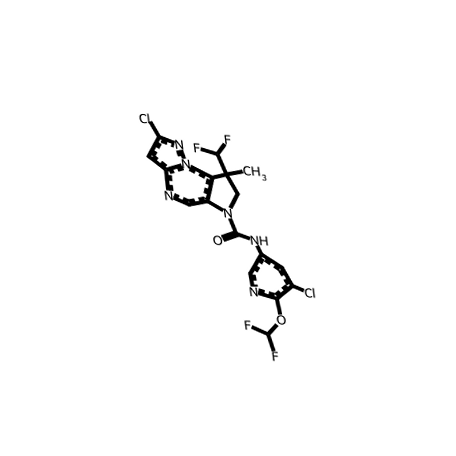 CC1(C(F)F)CN(C(=O)Nc2cnc(OC(F)F)c(Cl)c2)c2cnc3cc(Cl)nn3c21